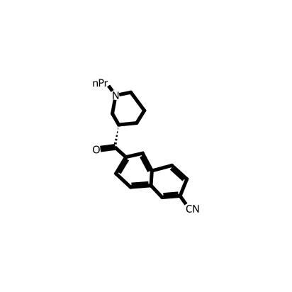 CCCN1CCC[C@H](C(=O)c2ccc3cc(C#N)ccc3c2)C1